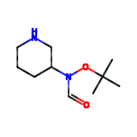 CC(C)(C)ON(C=O)C1CCCNC1